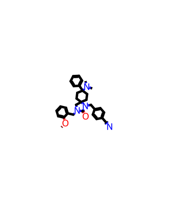 COc1ccccc1CN1CC2(CCC(c3ccccc3)(N(C)C)CC2)N(Cc2ccc(C#N)cc2)C1=O